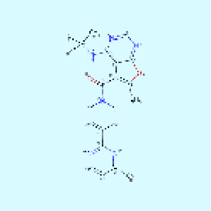 Cc1oc2ncnc(NC3(C)CC3)c2c1C(=O)N1CC=C(c2nccc(C#N)n2)CC1